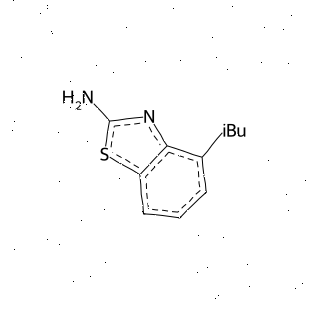 CCC(C)c1cccc2sc(N)nc12